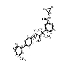 CC(C)(C(=O)Nc1ccc(-c2cncc(C(F)(F)F)c2)cc1)c1ccnc(NSC2CC2)n1